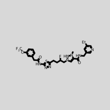 CCc1cncc(CNC(=O)C2=CN(CC(F)CCc3nnc(NC(=O)Cc4cccc(OC(F)(F)F)c4)s3)NN2C)c1